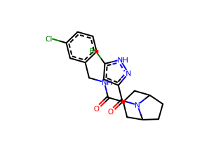 O=C(NCc1cccc(Cl)c1)C1CC2CCC(C1)N2C(=O)c1cc(Br)[nH]n1